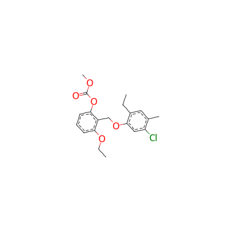 CCOc1cccc(OC(=O)OC)c1COc1cc(Cl)c(C)cc1CC